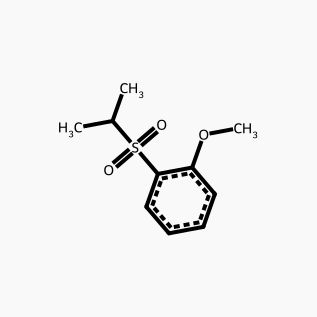 COc1ccccc1S(=O)(=O)C(C)C